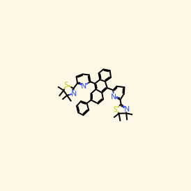 CC1(C)N=C(c2cccc(-c3c4ccccc4c(-c4cccc(C5=NC(C)(C)C(C)(C)S5)n4)c4cc(-c5ccccc5)ccc34)n2)SC1(C)C